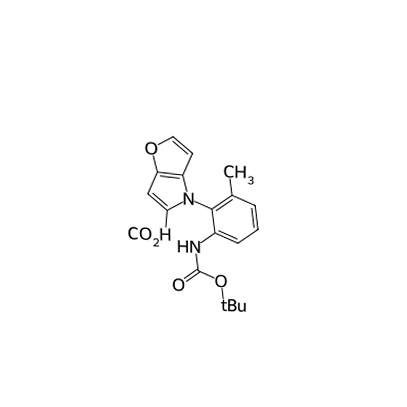 Cc1cccc(NC(=O)OC(C)(C)C)c1-n1c(C(=O)O)cc2occc21